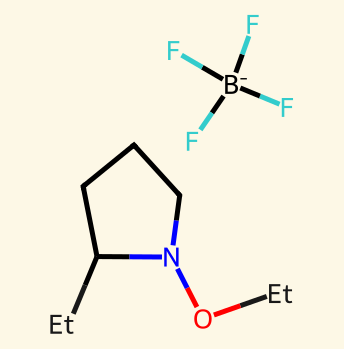 CCON1CCCC1CC.F[B-](F)(F)F